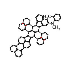 Cc1ccccc1N(C)c1cc2cccc3c4c(-c5ccccc5)c5c(-c6ccccc6)c6c7ccc8c9cccc%10cccc(c%11ccc(c6c(-c6ccccc6)c5c(-c5ccccc5)c4c(c1)c23)c7c8%11)c%109